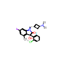 CCN(CC)[C@H]1C[C@H](CN2C(=O)[C@@](O)(c3c(F)cccc3Cl)c3c2cc(I)cc3C(F)(F)F)C1